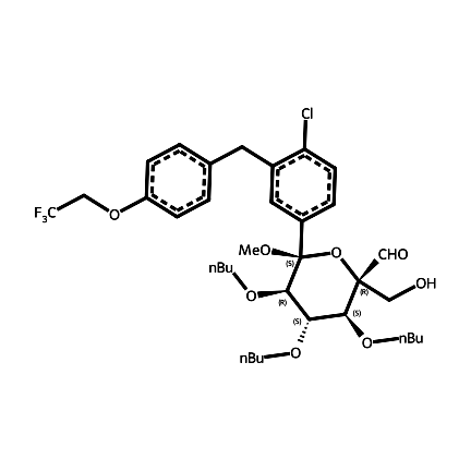 CCCCO[C@@H]1[C@@H](OCCCC)[C@](OC)(c2ccc(Cl)c(Cc3ccc(OCC(F)(F)F)cc3)c2)O[C@](C=O)(CO)[C@H]1OCCCC